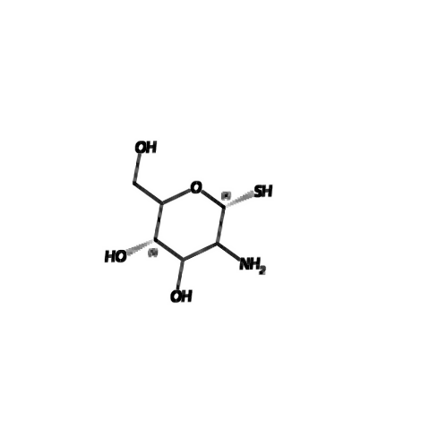 NC1C(O)[C@H](O)C(CO)O[C@@H]1S